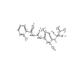 O=C(NC(=O)c1ccccc1Cl)Nc1cc(Cl)c(OC(F)(F)C(Cl)Cl)cc1Cl